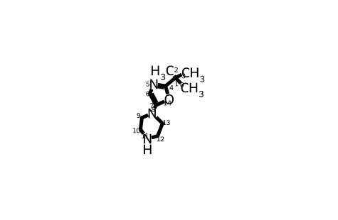 CC(C)(C)c1ncc(N2CCNCC2)o1